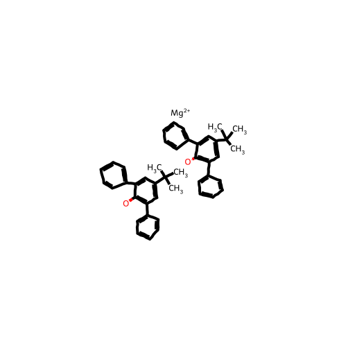 CC(C)(C)c1cc(-c2ccccc2)c([O-])c(-c2ccccc2)c1.CC(C)(C)c1cc(-c2ccccc2)c([O-])c(-c2ccccc2)c1.[Mg+2]